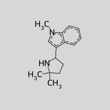 Cn1cc(C2CCC(C)(C)N2)c2ccccc21